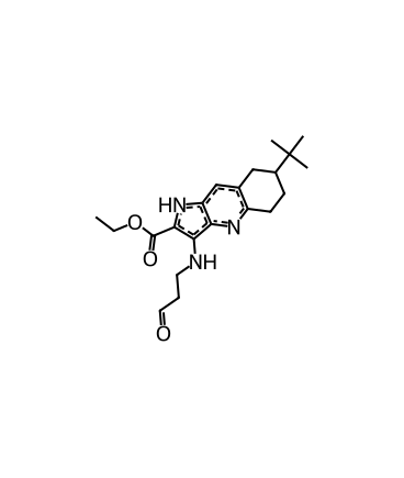 CCOC(=O)c1[nH]c2cc3c(nc2c1NCCC=O)CCC(C(C)(C)C)C3